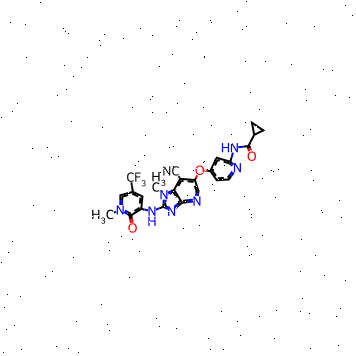 Cn1cc(C(F)(F)F)cc(Nc2nc3ncc(Oc4ccnc(NC(=O)C5CC5)c4)c(C#N)c3n2C)c1=O